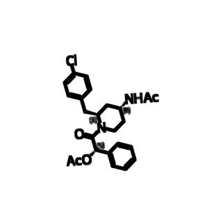 CC(=O)N[C@@H]1CCN(C(=O)[C@@H](OC(C)=O)c2ccccc2)[C@@H](Cc2ccc(Cl)cc2)C1